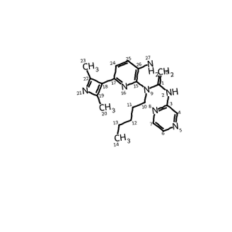 C=C(Nc1cnccn1)N(CCCCC)c1nc(C2=C(C)N=C2C)ccc1N